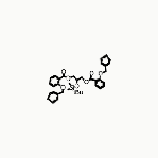 CC(C)(C)[Si](C)(C)OC(COC(=O)c1ccccc1OCc1ccccc1)COC(=O)c1ccccc1OCc1ccccc1